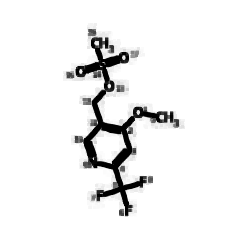 COc1cc(C(F)(F)F)ncc1COS(C)(=O)=O